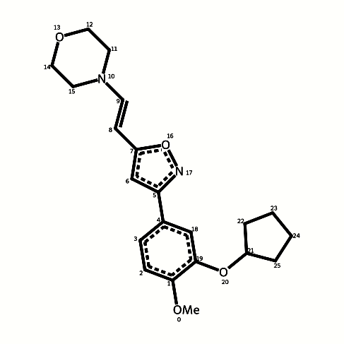 COc1ccc(-c2cc(C=CN3CCOCC3)on2)cc1OC1CCCC1